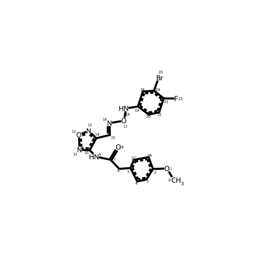 COc1ccc(CC(=O)Nc2nonc2/C=N/ONc2ccc(F)c(Br)c2)cc1